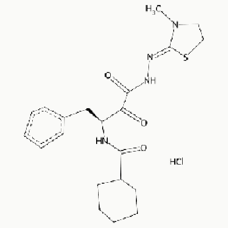 CN1CCS/C1=N\NC(=O)C(=O)[C@H](Cc1ccccc1)NC(=O)C1CCCCC1.Cl